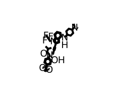 CC(C)C(=O)N(CC#Cc1cc2c(NC3CCC(N(C)C)CC3)cccc2n1CC(F)(F)F)c1ccc(S(C)(=O)=O)cc1O